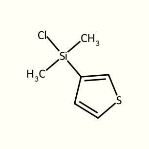 C[Si](C)(Cl)c1ccsc1